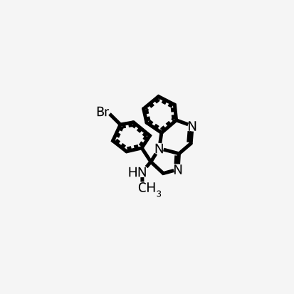 CNC1(c2ccc(Br)cc2)CN=C2C=Nc3ccccc3N21